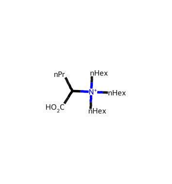 CCCCCC[N+](CCCCCC)(CCCCCC)C(CCC)C(=O)O